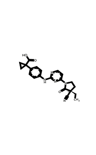 CC[C@]1(C#N)CCN(c2ccnc(Nc3ccc(C4(C(=O)O)CC4)cc3)n2)C1=O